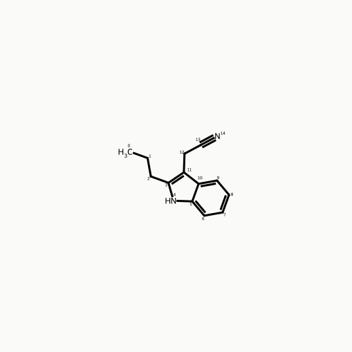 CCCc1[nH]c2ccccc2c1CC#N